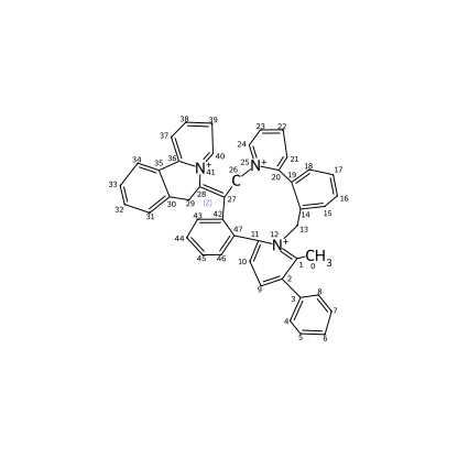 Cc1c(-c2ccccc2)ccc2[n+]1Cc1ccccc1-c1cccc[n+]1C/C(=C1/Cc3ccccc3-c3cccc[n+]31)c1ccccc1-2